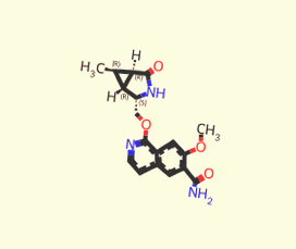 COc1cc2c(OC[C@H]3NC(=O)[C@@H]4[C@H](C)[C@H]43)nccc2cc1C(N)=O